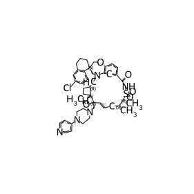 CO[C@@]1(CN2CCN(c3ccncc3)CC2)/C=C/C[C@H](C)[C@@H](C)S(=O)(=O)NC(=O)c2ccc3c(c2)N(C[C@@H]2CC[C@H]21)C[C@@]1(CCCc2cc(Cl)ccc21)CO3